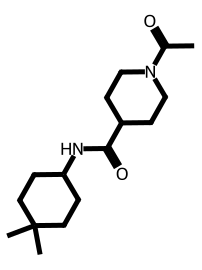 CC(=O)N1CCC(C(=O)NC2CCC(C)(C)CC2)CC1